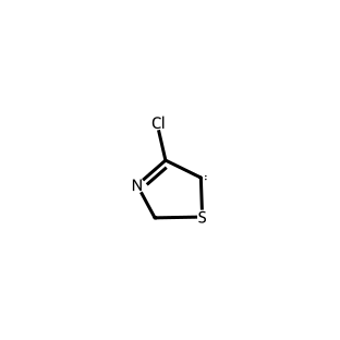 ClC1=NCS[C]1